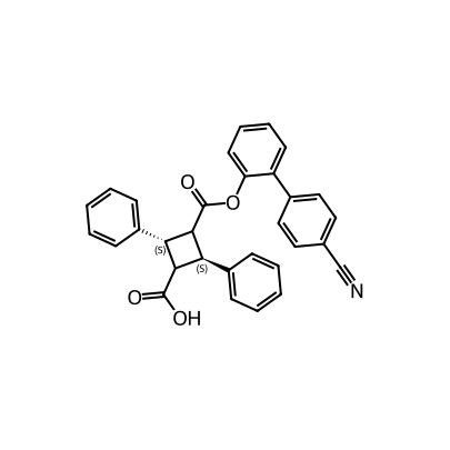 N#Cc1ccc(-c2ccccc2OC(=O)C2[C@@H](c3ccccc3)C(C(=O)O)[C@@H]2c2ccccc2)cc1